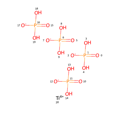 O=P([O-])(O)O.O=P([O-])(O)O.O=P([O-])(O)O.O=P([O-])(O)O.[Ti+4]